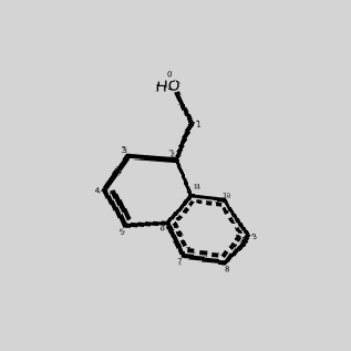 OCC1CC=Cc2ccccc21